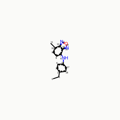 CCc1ccc(Nc2ccc(C)c3nonc23)cc1